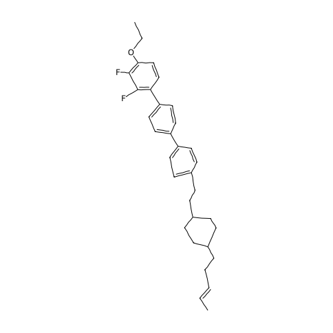 C/C=C/CCC1CCC(CCc2ccc(-c3ccc(-c4ccc(OCC)c(F)c4F)cc3)cc2)CC1